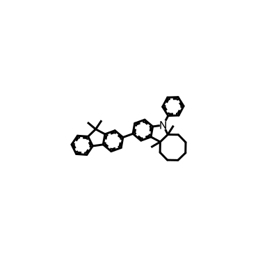 CC1(C)c2ccccc2-c2ccc(-c3ccc4c(c3)C3(C)CCCCCCC3(C)N4c3ccccc3)cc21